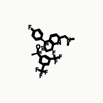 C[C@@H](O[C@H]1CCc2nc(CN(C)C)ccc2[C@@H]1c1ccc(F)cc1)c1cc(C(F)(F)F)cc(C(F)(F)F)c1